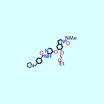 CCOCCOc1cc2c(ccn2C(=O)NC)cc1Oc1ccnc(NC(=O)c2ccc(CN3CCC[C@@H]3C)cc2)c1